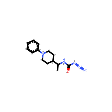 CC(NC(=O)N=[N+]=[N-])C1CCN(c2ccccc2)CC1